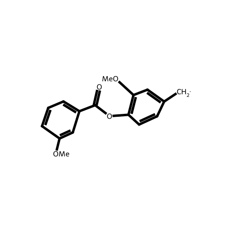 [CH2]c1ccc(OC(=O)c2cccc(OC)c2)c(OC)c1